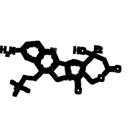 CCC1(O)CC(=O)OCc2c1cc1n(c2=O)Cc2c-1nc1ccc(N)cc1c2CC[Si](C)(C)C